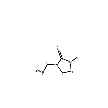 CCCCCCN1CCN(C)C1=O